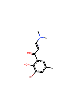 Cc1cc(Br)c(O)c(C(=O)/C=C/N(C)C)c1